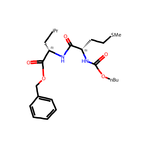 CCCCOC(=O)N[C@@H](CCSC)C(=O)N[C@@H](CC(C)C)C(=O)OCc1ccccc1